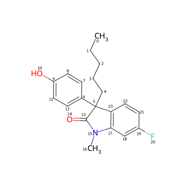 CCCCCC1(c2ccc(O)cc2)C(=O)N(C)c2cc(F)ccc21